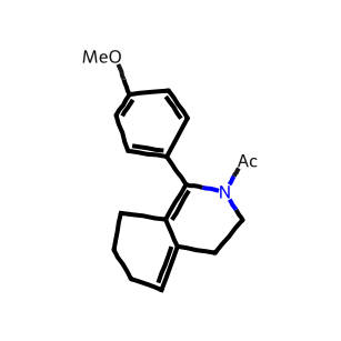 COc1ccc(C2=C3CCCC=C3CCN2C(C)=O)cc1